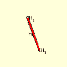 CCCCCCCCCCCCCCCCCCCCCCCCCCCPCCCCCCCCCCCCCCCCCCCCCCCCCCC